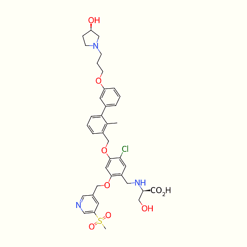 Cc1c(COc2cc(OCc3cncc(S(C)(=O)=O)c3)c(CN[C@H](CO)C(=O)O)cc2Cl)cccc1-c1cccc(OCCCN2CC[C@@H](O)C2)c1